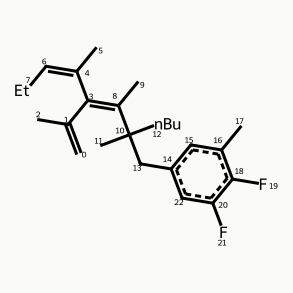 C=C(C)C(/C(C)=C\CC)=C(/C)C(C)(CCCC)Cc1cc(C)c(F)c(F)c1